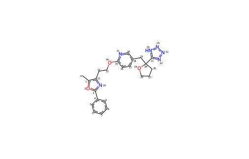 Cc1oc(-c2ccccc2)nc1CCOc1ccc(CC2(c3nnn[nH]3)CCCO2)cn1